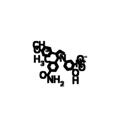 COc1ccc(-c2ccn(-c3ccc(O)c([N+](=O)[O-])c3)c2-c2ccc(C(N)=O)cc2C)cc1